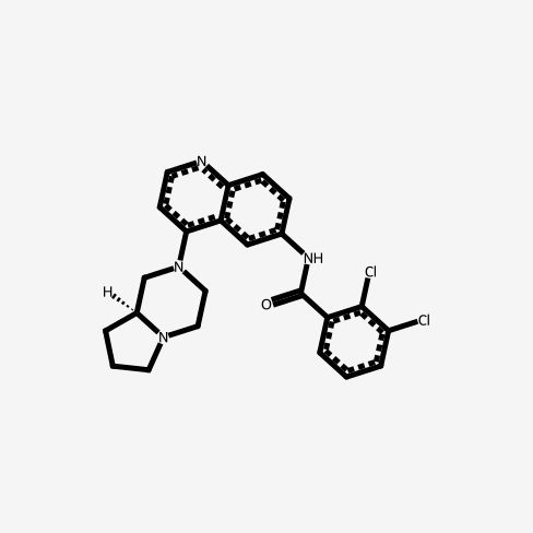 O=C(Nc1ccc2nccc(N3CCN4CCC[C@H]4C3)c2c1)c1cccc(Cl)c1Cl